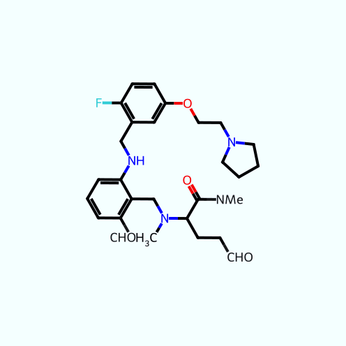 CNC(=O)C(CCC=O)N(C)Cc1c(C=O)cccc1NCc1cc(OCCN2CCCC2)ccc1F